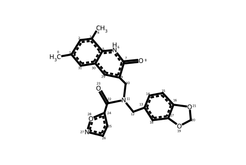 Cc1cc(C)c2[nH]c(=O)c(CN(Cc3ccc4c(c3)OCO4)C(=O)c3ccno3)cc2c1